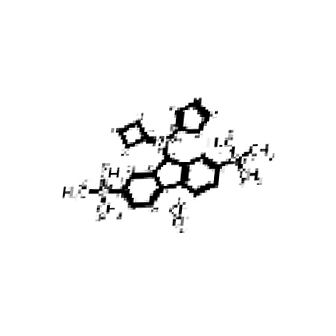 C[Si](C)(C)c1ccc2c(c1)[CH]([Zr+2]([C]1=CC=CC1)=[C]1CCC1)c1cc([Si](C)(C)C)ccc1-2.[Cl-].[Cl-]